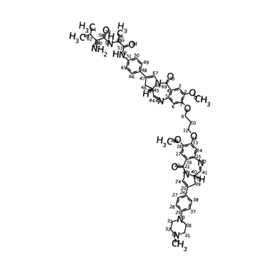 COc1cc2c(cc1OCCCOc1cc3c(cc1OC)C(=O)N1C=C(c4ccc(N5CCN(C)CC5)cc4)C[C@H]1C=N3)N=C[C@@H]1CC(c3ccc(NC(=O)[C@H](C)NC(=O)[C@@H](N)C(C)C)cc3)=CN1C2=O